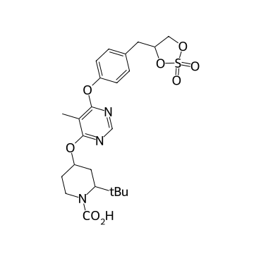 Cc1c(Oc2ccc(CC3COS(=O)(=O)O3)cc2)ncnc1OC1CCN(C(=O)O)C(C(C)(C)C)C1